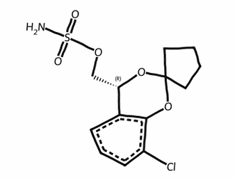 NS(=O)(=O)OC[C@@H]1OC2(CCCC2)Oc2c(Cl)cccc21